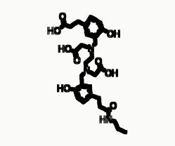 CCCNC(=O)CCc1ccc(O)c(CN(CCN(CC(=O)O)Cc2cc(CCC(=O)O)ccc2O)CC(=O)O)c1